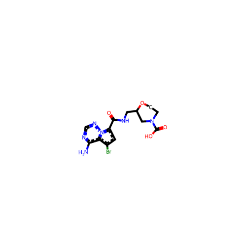 Nc1ncnn2c(C(=O)NCC3CN(C(=O)O)CCO3)cc(Br)c12